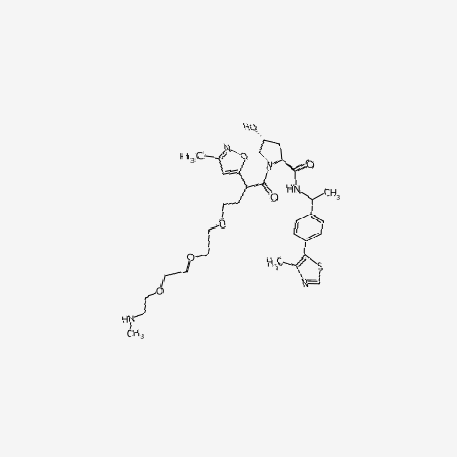 CNCCOCCOCCOCCC(C(=O)N1C[C@H](O)C[C@H]1C(=O)NC(C)c1ccc(-c2scnc2C)cc1)c1cc(C)no1